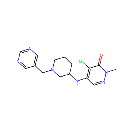 Cn1ncc(NC2CCCN(Cc3cncnc3)C2)c(Cl)c1=O